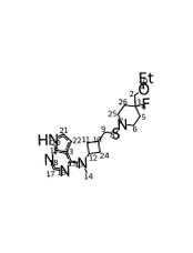 CCOCC1(F)CCN(SCC2CC(N(C)c3ncnc4[nH]ccc34)C2)CC1